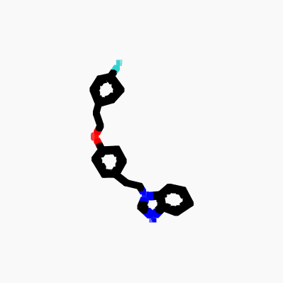 Fc1ccc(CCOc2ccc(CCn3cnc4ccccc43)cc2)cc1